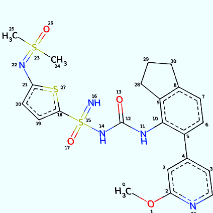 COc1cc(-c2ccc3c(c2NC(=O)NS(=N)(=O)c2ccc(N=S(C)(C)=O)s2)CCC3)ccn1